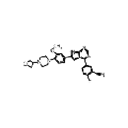 COc1cc(-c2cc3c(-c4ccc(F)c(C#N)c4)ncnc3[nH]2)ccc1N1CCN(C2COC2)CC1